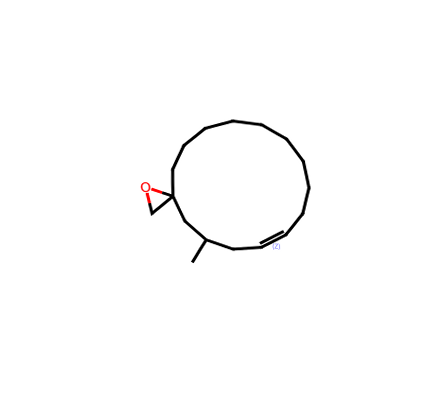 CC1C/C=C\CCCCCCCCCC2(CO2)C1